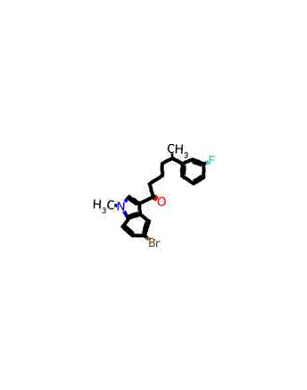 C[C@H](CCCC(=O)c1cn(C)c2ccc(Br)cc12)c1cccc(F)c1